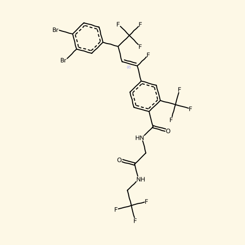 O=C(CNC(=O)c1ccc(/C(F)=C/C(c2ccc(Br)c(Br)c2)C(F)(F)F)cc1C(F)(F)F)NCC(F)(F)F